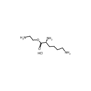 Cl.NCCCC[C@H](N)C(=O)OCCN